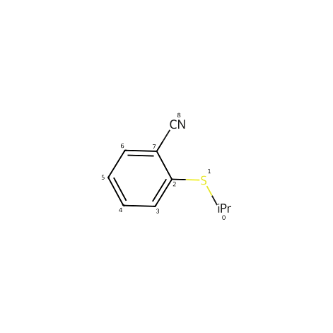 CC(C)Sc1ccccc1C#N